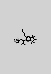 CCCCc1cc2c(cc1C(=Cc1ccno1)C(C)C)C(C)(C)C(C)C2(C)C